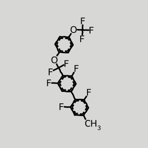 Cc1cc(F)c(-c2cc(F)c(C(F)(F)Oc3ccc(OC(F)(F)F)cc3)c(F)c2)c(F)c1